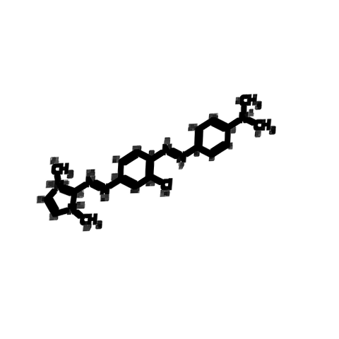 CN(C)c1ccc(/N=N/c2ccc(/N=N/c3n(C)cc[n+]3C)cc2Cl)cc1